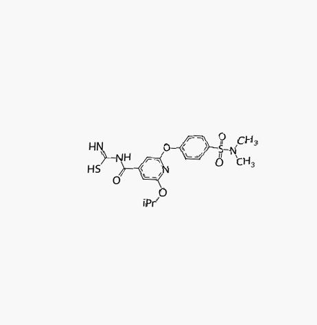 CC(C)Oc1cc(C(=O)NC(=N)S)cc(Oc2ccc(S(=O)(=O)N(C)C)cc2)n1